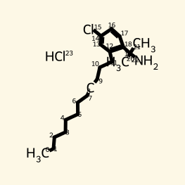 CCCCCCCCCCCCc1cc(Cl)ccc1C(C)(C)N.Cl